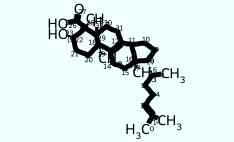 CC(C)=CCCC(C)[C@H]1CCC2C3=C(CC[C@@]21C)[C@@]1(C)CC[C@H](O)[C@@](C)(C(=O)O)[C@@H]1CC3